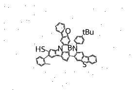 Cc1ccccc1-c1cc2c3ccc4c5c3n(c2cc1S)-c1cc2c(cc1B5N(c1ccc(C(C)(C)C)cc1)c1cc3c(cc1-4)sc1ccccc13)oc1ccccc12